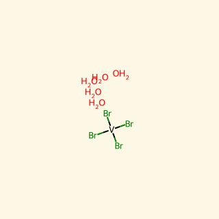 O.O.O.O.O.[Br][V]([Br])([Br])[Br]